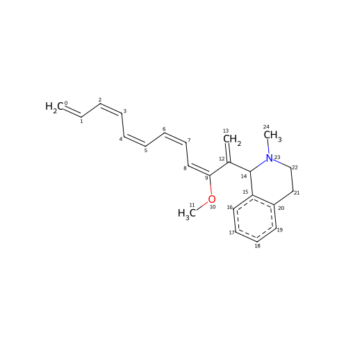 C=C\C=C/C=C\C=C/C=C(/OC)C(=C)C1c2ccccc2CCN1C